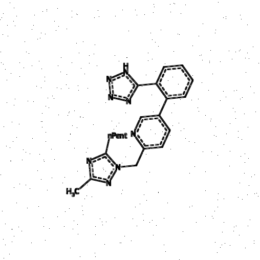 CCCCCc1nc(C)nn1Cc1ccc(-c2ccccc2-c2nnn[nH]2)cn1